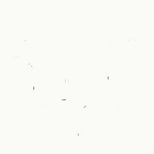 C=C1C(C[C@@H]2O[C@H](C[C@H]3CN(C(=O)OC(C)(C)C)C(C)(C)O3)[C@H](OC)[C@H]2CS(=O)(=O)c2ccc(C)cc2)O[C@@H](CC[C@@H]2O[C@@H](CCCCC(C)(C)[Si](O)(c3ccccc3)c3ccccc3)CC2=C)C[C@H]1C